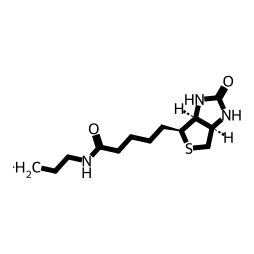 [CH2]CCNC(=O)CCCC[C@@H]1SC[C@@H]2NC(=O)N[C@@H]21